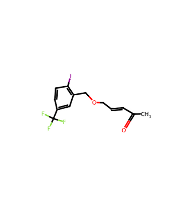 CC(=O)/C=C/COCc1cc(C(F)(F)F)ccc1I